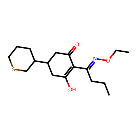 CCCC(=NOCC)C1=C(O)CC(C2CCCSC2)CC1=O